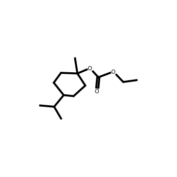 CCOC(=O)OC1(C)CCC(C(C)C)CC1